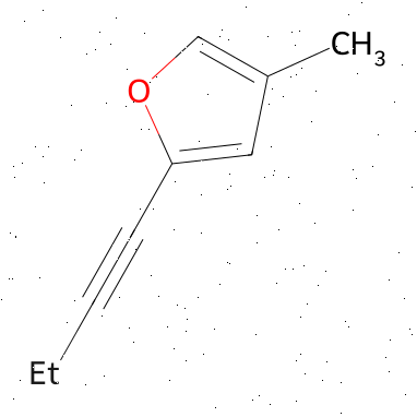 CCC#Cc1cc(C)co1